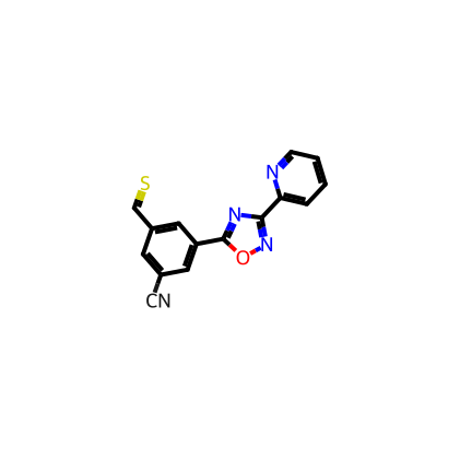 N#Cc1cc(C=S)cc(-c2nc(-c3ccccn3)no2)c1